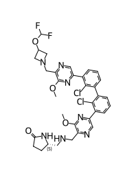 COc1nc(-c2cccc(-c3cccc(-c4cnc(CN5CC(OC(F)F)C5)c(OC)n4)c3Cl)c2Cl)cnc1CNC[C@@H]1CCC(=O)N1